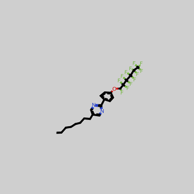 CCCCCCCCc1cnc(-c2ccc(OC(F)C(F)(F)C(F)(F)C(F)(F)C(F)(F)C(F)(F)F)cc2)nc1